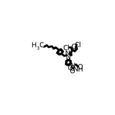 CCCCCC=Cc1ccc(Cc2nc(-c3ccc(Cl)cc3Cl)cn2-c2cccc(N3CC(=O)NS3(=O)=O)c2)cc1